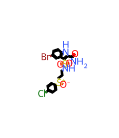 NC(=O)c1[nH]c2ccc(Br)cc2c1S(=O)(=O)NCCC[S+]([O-])c1ccc(Cl)cc1